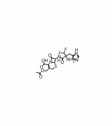 CC(=O)OCC1=C(C(=O)O)N2C(=O)C(NC(=O)C(N)(Cc3cnc[nH]3)C(F)F)C2SC1